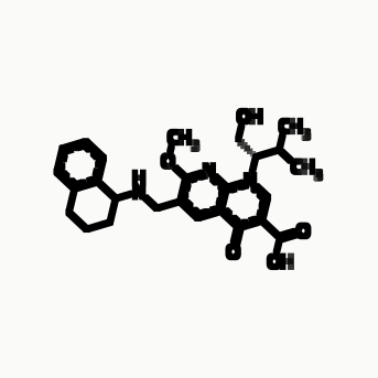 COc1nc2c(cc1CNC1CCCc3ccccc31)c(=O)c(C(=O)O)cn2[C@H](CO)C(C)C